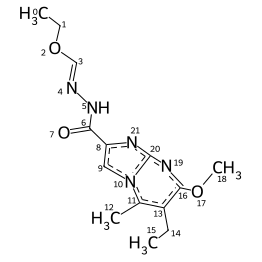 CCOC=NNC(=O)c1cn2c(C)c(CC)c(OC)nc2n1